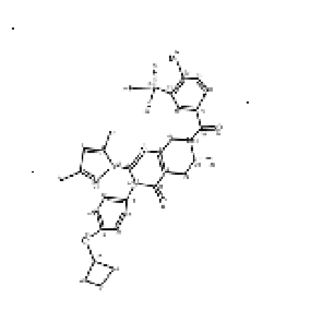 Cc1cc(C)n(-c2nc3c(c(=O)n2-c2ccc(OC4CCC4)nc2)C[C@@H](C)N(C(=O)c2ccc(Br)c(C(F)(F)F)c2)C3)n1